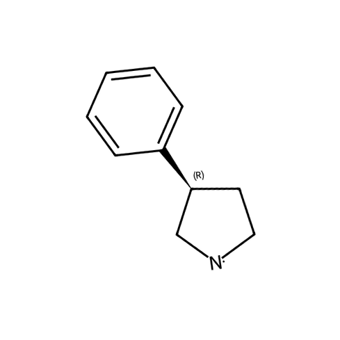 c1ccc([C@H]2CC[N]C2)cc1